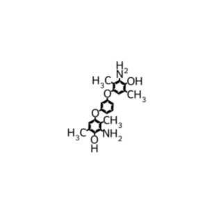 Cc1cc(Oc2cccc(Oc3cc(C)c(O)c(N)c3C)c2)c(C)c(N)c1O